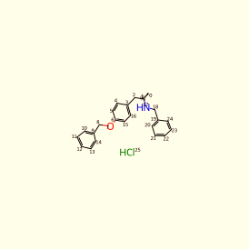 C[C@H](Cc1ccc(OCc2ccccc2)cc1)NCc1ccccc1.Cl